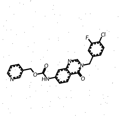 O=C(Nc1ccc2c(=O)n(Cc3ccc(Cl)c(F)c3)cnc2c1)OCc1cccnc1